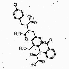 CCc1cc(C[C@@H](C(N)=O)N(Cc2ccc(Cl)cc2)C(C)=O)ccc1N(C(=O)C(=O)O)c1ccccc1C(=O)O